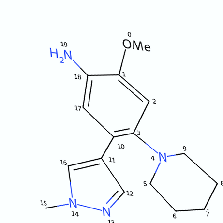 COc1cc(N2CC[CH]CC2)c(-c2cnn(C)c2)cc1N